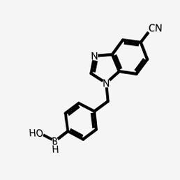 N#Cc1ccc2c(c1)ncn2Cc1ccc(BO)cc1